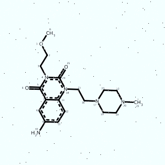 COCCn1c(=O)c2cc(N)ccc2n(CCN2CCN(C)CC2)c1=O